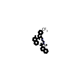 C=C(/C=C/C=C1/N(C)c2c(ccc3ccccc23)C1(C)C)C(C)(Cc1ccc(C(F)(F)F)cc1)c1c(C)ccc2ccccc12